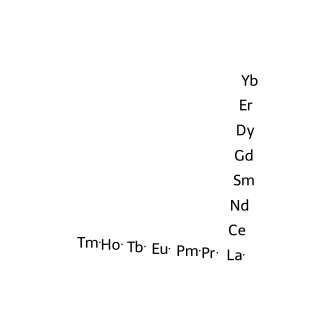 [Ce].[Dy].[Er].[Eu].[Gd].[Ho].[La].[Nd].[Pm].[Pr].[Sm].[Tb].[Tm].[Yb]